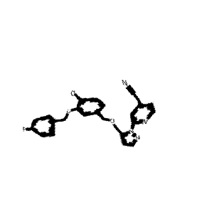 N#Cc1ccnc(-n2nccc2OCc2ccc(Cl)c(OCc3ccc(F)cc3)c2)c1